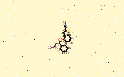 N#Cc1cc2c(O[C@@H](CCI)c3ccccc3)cccc2s1